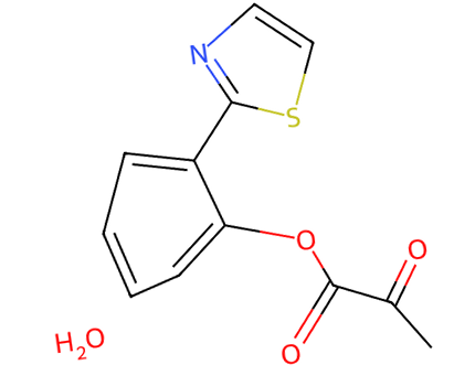 CC(=O)C(=O)Oc1ccccc1-c1nccs1.O